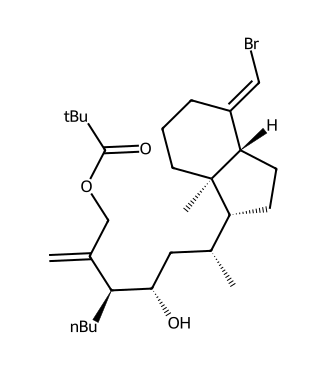 C=C(COC(=O)C(C)(C)C)[C@H](CCCC)[C@@H](O)C[C@@H](C)[C@H]1CC[C@H]2/C(=C/Br)CCC[C@]12C